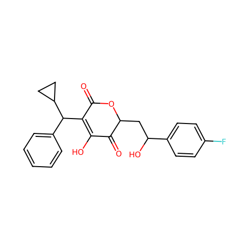 O=C1OC(CC(O)c2ccc(F)cc2)C(=O)C(O)=C1C(c1ccccc1)C1CC1